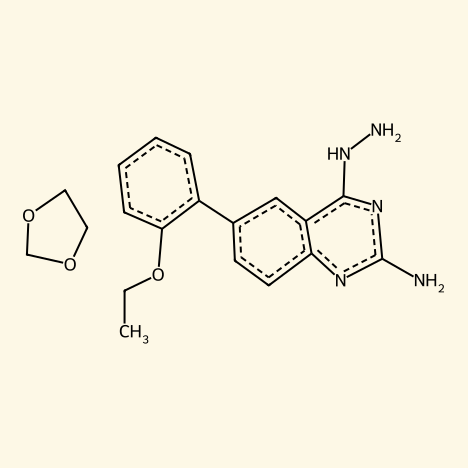 C1COCO1.CCOc1ccccc1-c1ccc2nc(N)nc(NN)c2c1